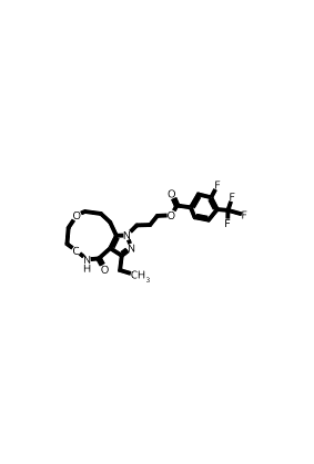 CCc1nn(CCCOC(=O)c2ccc(C(F)(F)F)c(F)c2)c2c1C(=O)NCCCOCCC2